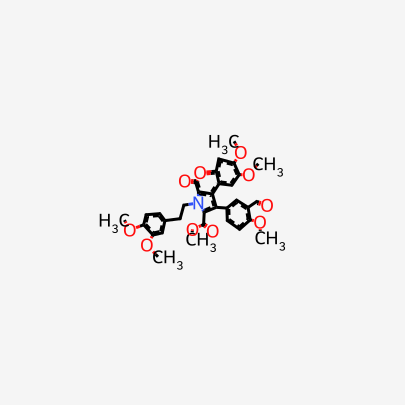 COC(=O)c1c(-c2ccc(OC)c(C=O)c2)c2c3cc(OC)c(OC)cc3oc(=O)c2n1CCc1ccc(OC)c(OC)c1